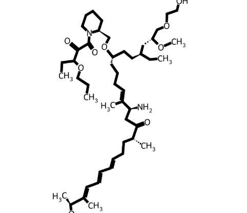 CCCOC(CC)C(=O)C(=O)N1CCCC[C@H]1CO[C@@H](CCC/C=C(\C)[C@@H](N)CC(=O)[C@H](C)CC/C=C/C=C/C=C(\C)[C@H](C)OC)CC[C@H](CC)C[C@H](COCCO)OC